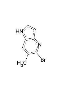 Cc1cc2[nH]ccc2nc1Br